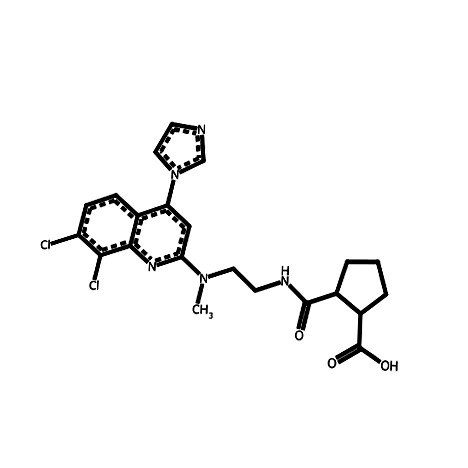 CN(CCNC(=O)C1CCCC1C(=O)O)c1cc(-n2ccnc2)c2ccc(Cl)c(Cl)c2n1